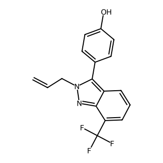 C=CCn1nc2c(C(F)(F)F)cccc2c1-c1ccc(O)cc1